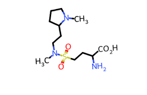 CN1CCCC1CCN(C)S(=O)(=O)CCC(N)C(=O)O